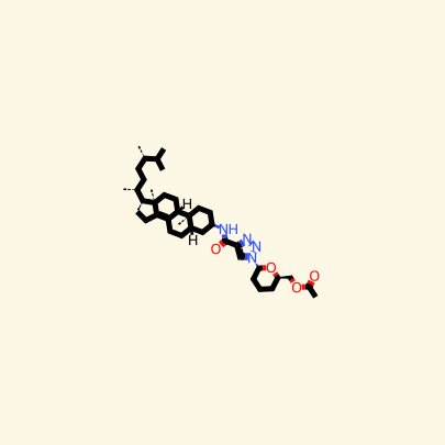 CC(=O)OC[C@H]1CCC[C@H](n2cc(C(=O)N[C@@H]3CC[C@@]4(C)[C@@H](CCC5=C6CC[C@H]([C@H](C)CC[C@H](C)C(C)C)[C@@]6(C)CC[C@@H]54)C3)nn2)O1